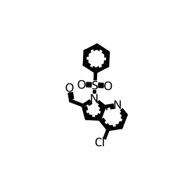 O=Cc1cc2c(Cl)ccnc2n1S(=O)(=O)c1ccccc1